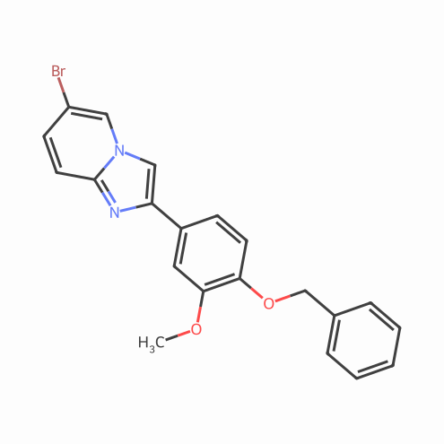 COc1cc(-c2cn3cc(Br)ccc3n2)ccc1OCc1ccccc1